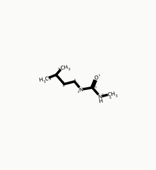 CNC(=O)[N]CCC(C)C